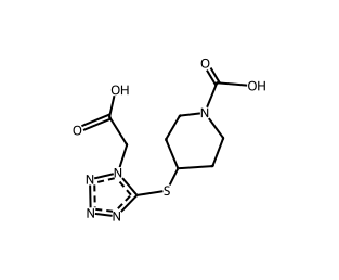 O=C(O)Cn1nnnc1SC1CCN(C(=O)O)CC1